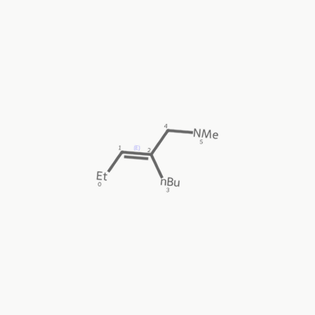 CC/C=C(\CCCC)CNC